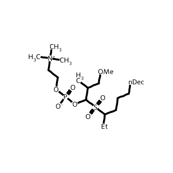 CCCCCCCCCCCCCC(CC)S(=O)(=O)C(OP(=O)([O-])OCC[N+](C)(C)C)C(C)COC